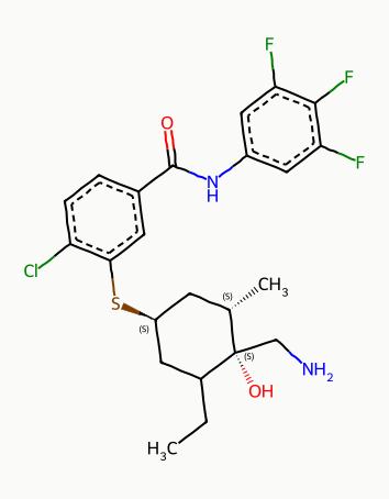 CCC1C[C@@H](Sc2cc(C(=O)Nc3cc(F)c(F)c(F)c3)ccc2Cl)C[C@H](C)[C@@]1(O)CN